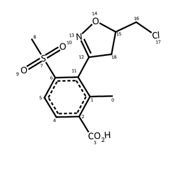 Cc1c(C(=O)O)ccc(S(C)(=O)=O)c1C1=NOC(CCl)C1